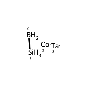 B[SiH3].[Co].[Ta]